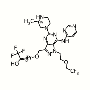 CC(C)OCc1nn(CCOCC(F)(F)F)c2c(Nc3ccncn3)nc(N3CCN[C@H](C)C3)nc12.O=C(O)C(F)(F)F